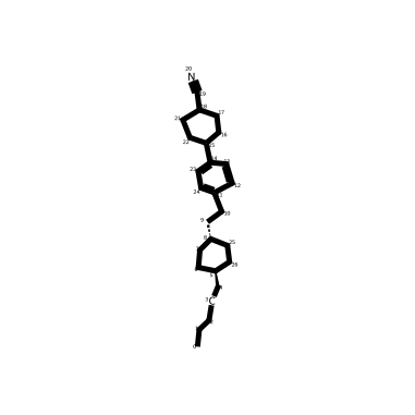 CCCCC[C@H]1CC[C@H](CCc2ccc(C3CCC(C#N)CC3)cc2)CC1